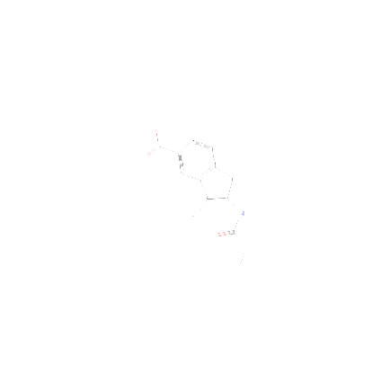 COC(=O)NC1Cc2ccc([N+](=O)[O-])cc2C1O